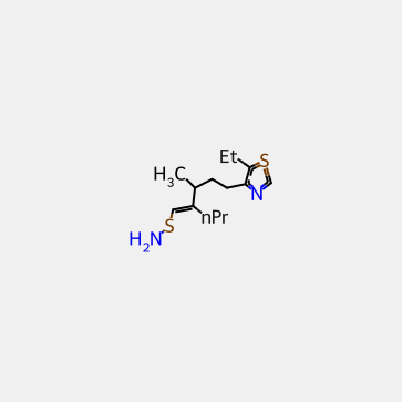 CCC/C(=C\SN)C(C)CCc1ncsc1CC